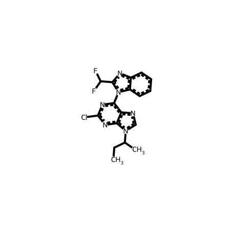 CCC(C)n1cnc2c(-n3c(C(F)F)nc4ccccc43)nc(Cl)nc21